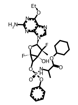 CCOc1nc(N)nc2c1ncn2[C@@H]1O[C@]2(F)C(O[P@@](=O)(NC(C)C(=O)OC3CCCCC3)Oc3ccccc3)[C@]2(O)[C@@]1(C)F